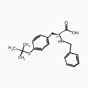 CC(C)(C)Oc1ccc(C[C@H](NCc2ccccc2)C(=O)O)cc1